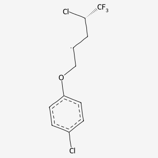 FC(F)(F)[C@@H](Cl)C[CH]COc1ccc(Cl)cc1